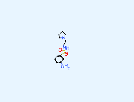 Nc1cccc(S(=O)(=O)NCCN2CCCC2)c1